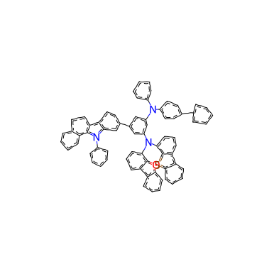 c1ccc(-c2ccc(N(c3ccccc3)c3cc(-c4ccc5c6ccc7ccccc7c6n(-c6ccccc6)c5c4)cc(N(c4cccc5c4oc4ccccc45)c4cccc5c4sc4ccccc45)c3)cc2)cc1